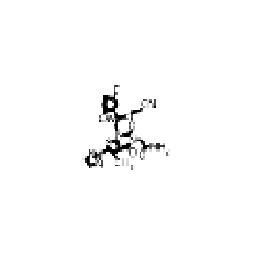 COc1ccc(F)cc1[C@H](Cn1c(=O)n(CC(N)=O)c(=O)c2c(C)c(-n3nccn3)sc21)OCCC#N